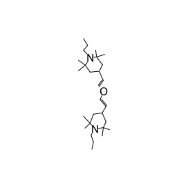 CCCN1C(C)(C)CC(C=COC=CC2CC(C)(C)N(CCC)C(C)(C)C2)CC1(C)C